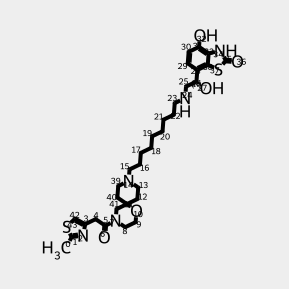 Cc1nc(CC(=O)N2CCOC3(CCN(CCCCCCCCCNC[C@H](O)c4ccc(O)c5[nH]c(=O)sc45)CC3)C2)cs1